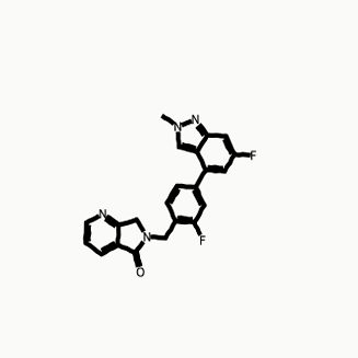 Cn1cc2c(-c3ccc(CN4Cc5ncccc5C4=O)c(F)c3)cc(F)cc2n1